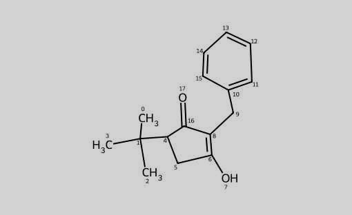 CC(C)(C)C1CC(O)=C(Cc2ccccc2)C1=O